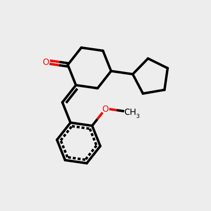 COc1ccccc1C=C1CC(C2CCCC2)CCC1=O